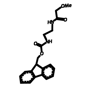 COCC(=O)NCCNC(=O)OCC1c2ccccc2-c2ccccc21